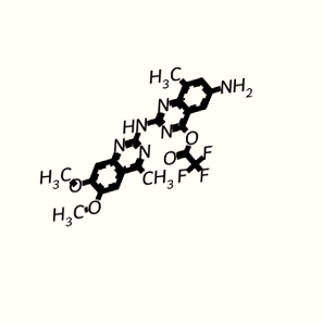 COc1cc2nc(Nc3nc(OC(=O)C(F)(F)F)c4cc(N)cc(C)c4n3)nc(C)c2cc1OC